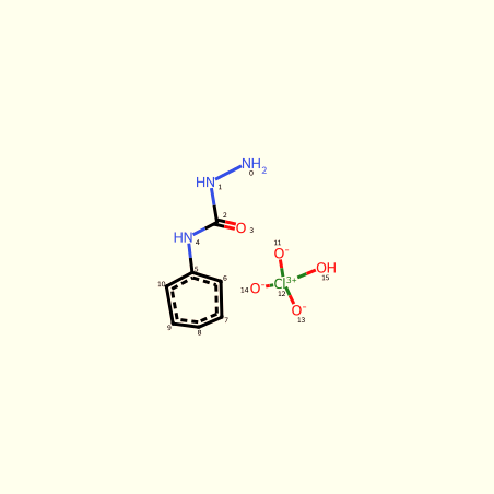 NNC(=O)Nc1ccccc1.[O-][Cl+3]([O-])([O-])O